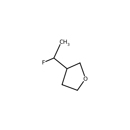 CC(F)C1CCOC1